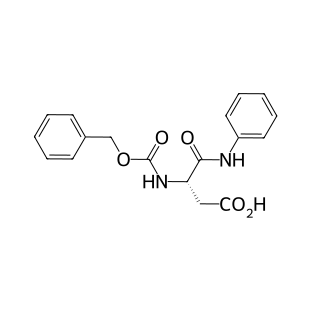 O=C(O)C[C@H](NC(=O)OCc1ccccc1)C(=O)Nc1ccccc1